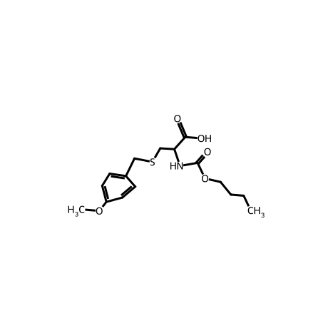 CCCCOC(=O)NC(CSCc1ccc(OC)cc1)C(=O)O